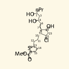 CCCC(O)C[C@H](O)C=C[C@@H]1[C@@H](CCCc2ccc(C(=O)OC)s2)[C@H](Cl)C[C@H]1O